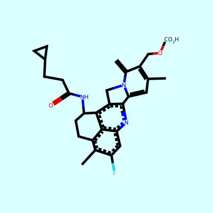 C=C1C(COC(=O)O)=C(C)C=C2c3nc4cc(F)c(C)c5c4c(c3CN12)C(NC(=O)CCC1CC1)CC5